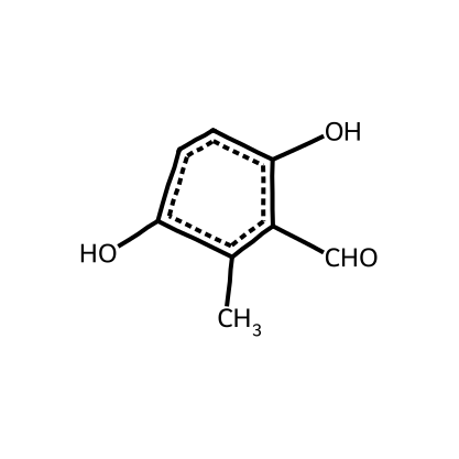 Cc1c(O)ccc(O)c1C=O